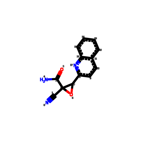 N#CC1(C(N)=O)OC1c1ccc2ccccc2n1